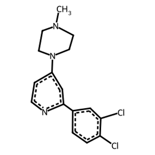 CN1CCN(c2ccnc(-c3ccc(Cl)c(Cl)c3)c2)CC1